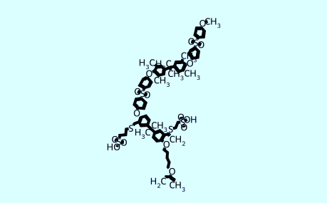 C=C/C(=C\C)OCCCCCOc1ccc(C(C)(C)c2ccc(Oc3ccc(S(=O)(=O)c4ccc(Oc5c(C)cc(C(C)(C)c6cc(C)c(Oc7ccc(S(=O)(=O)c8ccc(OC)cc8)cc7)c(C)c6)cc5C)cc4)cc3)c(CSCCCS(=O)(=O)O)c2)cc1C(=C)SCCS(=O)(=O)O